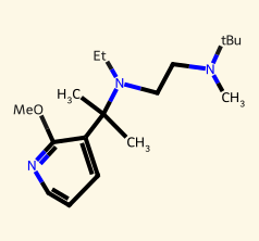 CCN(CCN(C)C(C)(C)C)C(C)(C)c1cccnc1OC